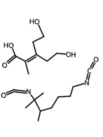 CC(C(=O)O)=C(CCO)CCO.CC(CCCCN=C=O)C(C)(C)N=C=O